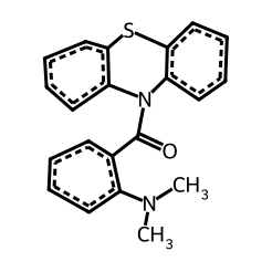 CN(C)c1ccccc1C(=O)N1c2ccccc2Sc2ccccc21